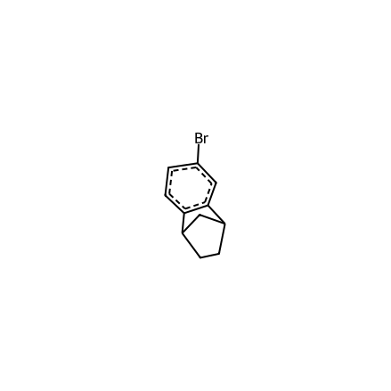 Brc1ccc2c(c1)C1CCC2C1